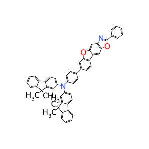 CC1(C)c2ccccc2-c2ccc(N(c3ccc(-c4ccc5c(c4)oc4cc6nc(-c7ccccc7)oc6cc45)cc3)c3ccc4c(c3)C(C)(C)c3ccccc3-4)cc21